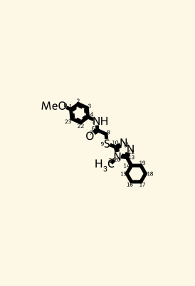 COc1ccc(NC(=O)CSc2nnc(C3CCCCC3)n2C)cc1